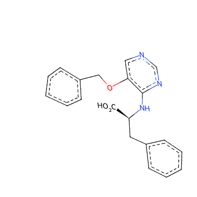 O=C(O)[C@H](Cc1ccccc1)Nc1ncncc1OCc1ccccc1